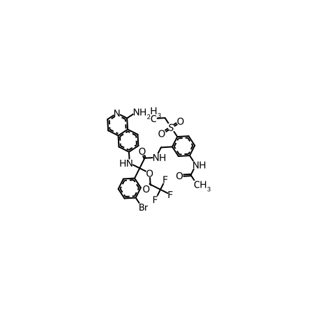 CCS(=O)(=O)c1ccc(NC(C)=O)cc1CNC(=O)C(Nc1ccc2c(N)nccc2c1)(OC(=O)C(F)(F)F)c1cccc(Br)c1